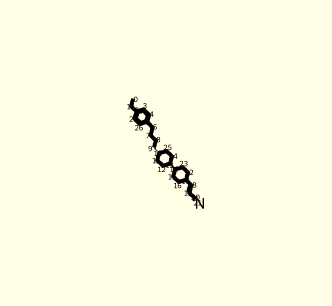 CCc1ccc(CCCC[C@H]2CC[C@H](C3CCC(/C=C/C#N)CC3)CC2)cc1